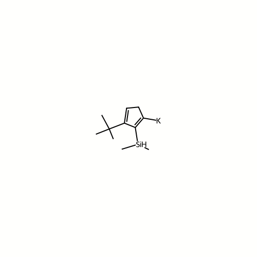 C[SiH](C)C1=[C]([K])CC=C1C(C)(C)C